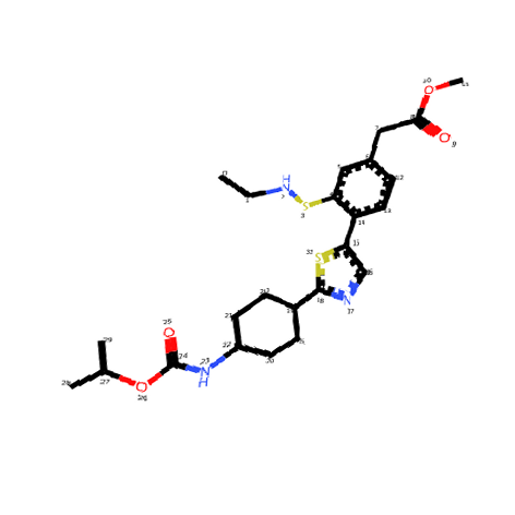 CCNSc1cc(CC(=O)OC)ccc1-c1cnc(C2CCC(NC(=O)OC(C)C)CC2)s1